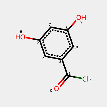 O=C(Cl)c1cc(O)cc(O)c1